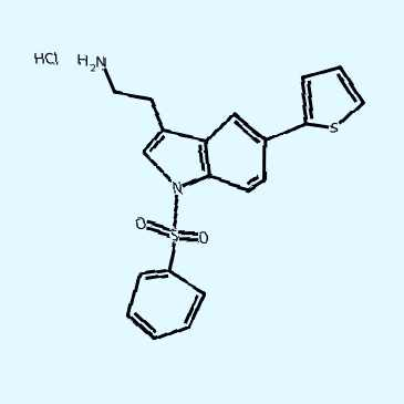 Cl.NCCc1cn(S(=O)(=O)c2ccccc2)c2ccc(-c3cccs3)cc12